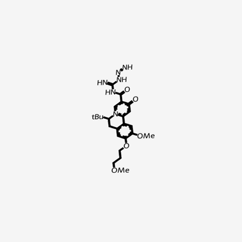 COCCCOc1cc2c(cc1OC)-c1cc(=O)c(C(=O)NC(=N)NN=N)cn1C(C(C)(C)C)C2